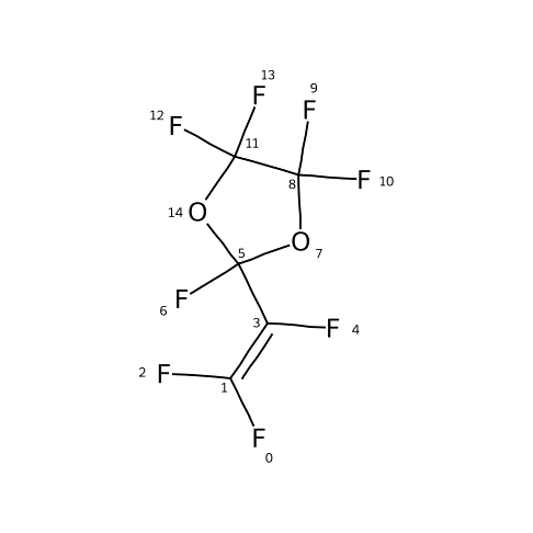 FC(F)=C(F)C1(F)OC(F)(F)C(F)(F)O1